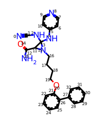 N#CNC1(Nc2ccncc2)C(C(N)=O)N1CCCCOc1ccccc1-c1ccccc1